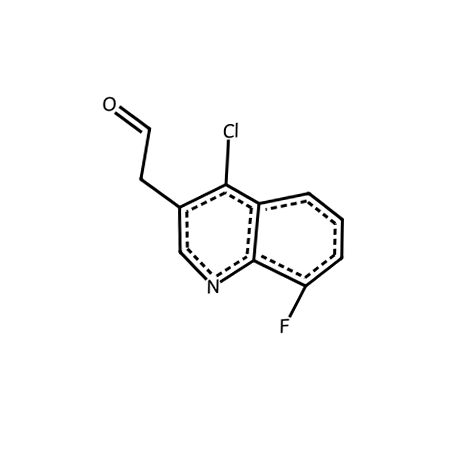 O=CCc1cnc2c(F)cccc2c1Cl